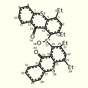 CCc1cc(CC)c2sc3ccccc3c(=O)c2c1[S+]([O-])c1c(CC)cc(CC)c2sc3ccccc3c(=O)c12